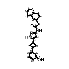 O=C(Cc1ccc2ncccc2c1)Nc1cc(C2CC(c3cccc(O)c3)C2)[nH]n1